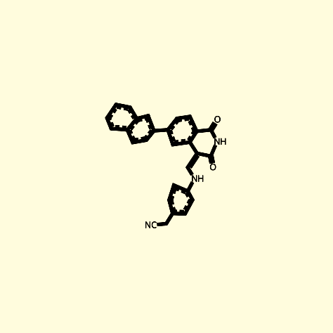 N#CCc1ccc(NC=C2C(=O)NC(=O)c3ccc(-c4ccc5ccccc5c4)cc32)cc1